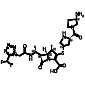 C[C@@H](NC(=O)Cn1nnnc1C(F)F)[C@H]1C(=O)N2C(C(=O)O)=C(S[C@@H]3CN[C@H](C(=O)N4CC[C@@H](N)C4)C3)[C@H](C)[C@H]12